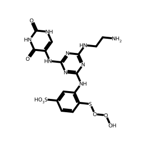 NCCNc1nc(Nc2cc(S(=O)(=O)O)ccc2SOOO)nc(Nc2c[nH]c(=O)[nH]c2=O)n1